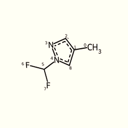 Cc1[c]nn(C(F)F)c1